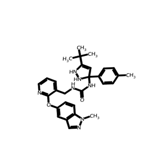 Cc1ccc(C2(NC(=O)NCc3cccnc3Oc3ccc4c(cnn4C)c3)C=C(C(C)(C)C)NN2)cc1